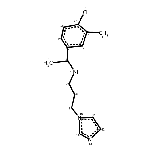 Cc1cc(C(C)NCCCn2ccnc2)ccc1Cl